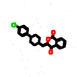 O=C1O/C(=C\C2CCC(c3ccc(Cl)cc3)CC2)C(=O)c2ccccc21